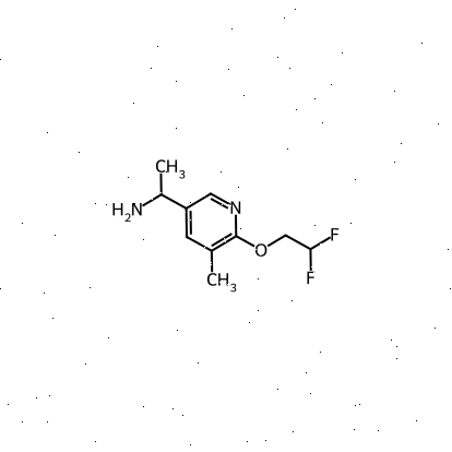 Cc1cc(C(C)N)cnc1OCC(F)F